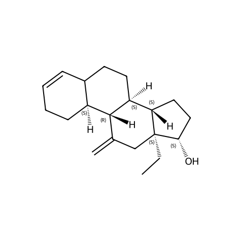 C=C1C[C@]2(CC)[C@@H](O)CC[C@H]2[C@@H]2CCC3C=CCC[C@@H]3[C@@H]12